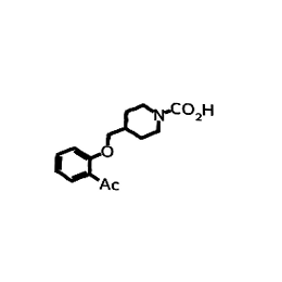 CC(=O)c1ccccc1OCC1CCN(C(=O)O)CC1